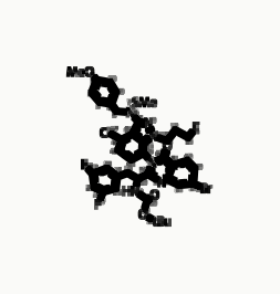 COc1ccc(CN(SC)c2nn(CCCF)c3c(-n4c(C(Cc5cc(F)cc(F)c5)NC(=O)OC(C)(C)C)nc5cc(Br)ccc5c4=O)ccc(Cl)c23)cc1